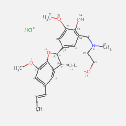 CC=Cc1cc(OC)c2c(c1)[C@@H](C)[C@H](c1cc(CN(C)CCO)c(O)c(OC)c1)O2.Cl